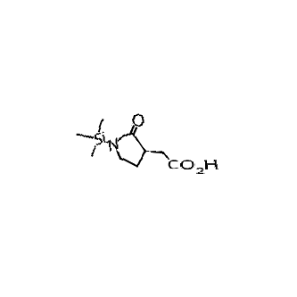 C[Si](C)(C)N1CC[C@H](CC(=O)O)C1=O